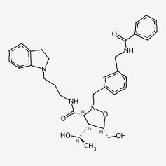 C[C@@H](O)[C@H]1[C@@H](CO)ON(Cc2cccc(CNC(=O)c3ccccc3)c2)[C@H]1C(=O)NCCCN1CCc2ccccc21